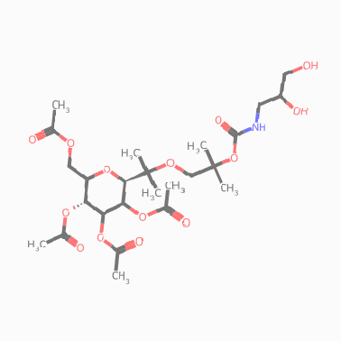 CC(=O)OCC1O[C@@H](C(C)(C)OCC(C)(C)OC(=O)NCC(O)CO)C(OC(C)=O)C(OC(C)=O)[C@@H]1OC(C)=O